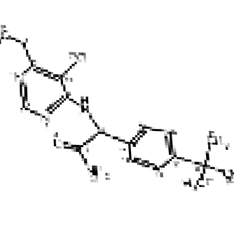 CCc1ncnc(NC(C(N)=O)c2ccc(C(C)(C)C)cc2)c1Cl